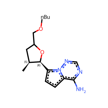 CCCCOCC1C[C@H](C)[C@H](c2ccc3c(N)ncnn23)O1